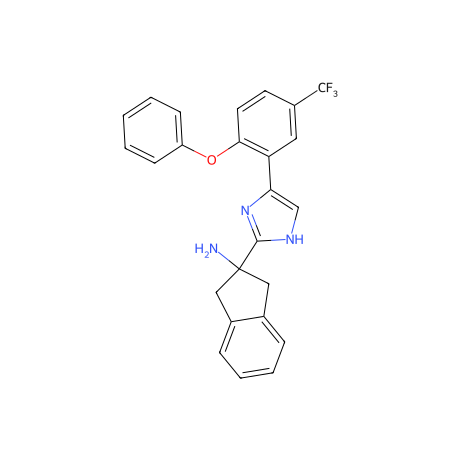 NC1(c2nc(-c3cc(C(F)(F)F)ccc3Oc3ccccc3)c[nH]2)Cc2ccccc2C1